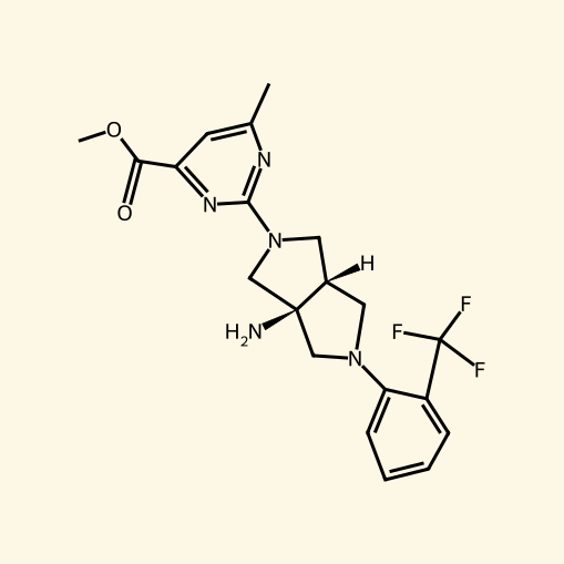 COC(=O)c1cc(C)nc(N2C[C@@H]3CN(c4ccccc4C(F)(F)F)C[C@]3(N)C2)n1